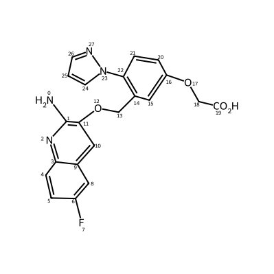 Nc1nc2ccc(F)cc2cc1OCc1cc(OCC(=O)O)ccc1-n1cccn1